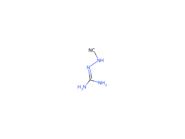 N#CNN=C(N)N